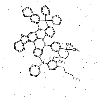 CCCCc1ccc(N(c2ccccc2)c2ccc3c(c2)N(c2ccc4c(c2)C(C)(C)CCC4(C)C)B2c4cccc5c4N(c4cc6ccccc6cc4C5(c4ccccc4)c4ccccc4)c4cc5sc6ccccc6c5c-3c42)cc1